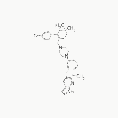 C=CC1=CCC=C(N2CCN(CC3=C(c4ccc(Cl)cc4)CC(C)(C)CC3)CC2)C=C1Cc1cnc2[nH]ccc2c1